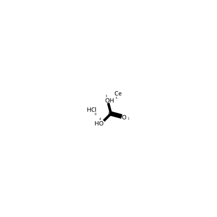 Cl.O=C(O)O.[Ce]